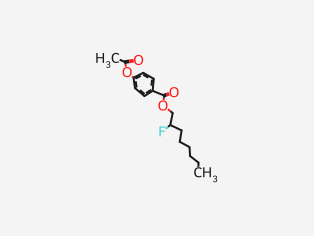 CCCCCCC(F)COC(=O)c1ccc(OC(C)=O)cc1